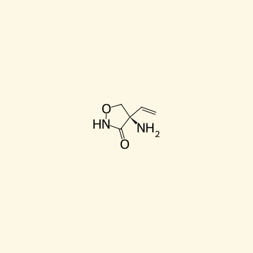 C=C[C@@]1(N)CONC1=O